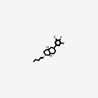 CCCC=C[C@@H]1CC[C@@H]2CC(c3cc(F)c(F)c(F)c3)CC[C@@H]2C1